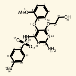 COc1ccccc1Oc1c(NS(=O)(=O)c2ccc(C(C)(C)C)cc2)nc(N)nc1OCCO